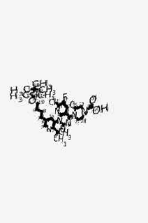 CC(C)c1ncc(CCCCO[Si](C)(C)C(C)(C)C)cc1-n1c(=O)nc(N2CCN(C(=O)O)CC2C)c2cc(F)c(Cl)nc21